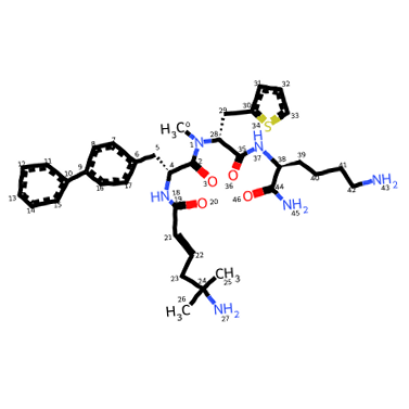 CN(C(=O)[C@@H](Cc1ccc(-c2ccccc2)cc1)NC(=O)/C=C/CC(C)(C)N)[C@H](Cc1cccs1)C(=O)N[C@@H](CCCCN)C(N)=O